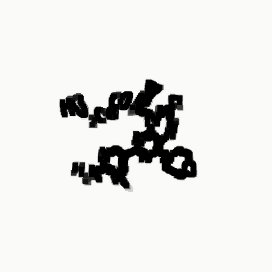 Nc1ncc(-c2nc(N3CCOCC3)c3nc(Cl)n(CC4CC4)c3n2)cn1.O=C(O)OC(=O)O